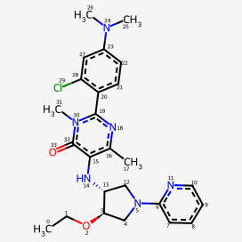 CCO[C@@H]1CN(c2ccccn2)C[C@H]1Nc1c(C)nc(-c2ccc(N(C)C)cc2Cl)n(C)c1=O